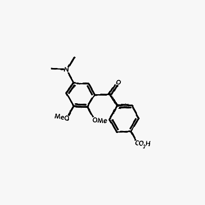 COc1cc(N(C)C)cc(C(=O)c2ccc(C(=O)O)cc2)c1OC